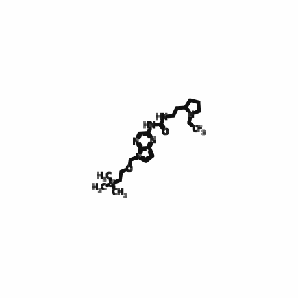 C[Si](C)(C)CCOCn1ccc2nc(NC(=O)NCCC3CCCN3CC(F)(F)F)cnc21